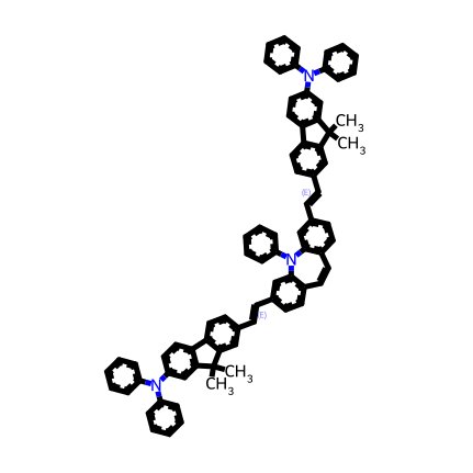 CC1(C)c2cc(/C=C/c3ccc4c(c3)N(c3ccccc3)c3cc(/C=C/c5ccc6c(c5)C(C)(C)c5cc(N(c7ccccc7)c7ccccc7)ccc5-6)ccc3C=C4)ccc2-c2ccc(N(c3ccccc3)c3ccccc3)cc21